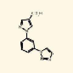 O=C(O)c1cnn(-c2cccc(-n3cnnn3)c2)c1